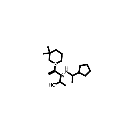 C=C([C@H](NC(C)C1CCCC1)C(C)O)N1CCCC(C)(C)C1